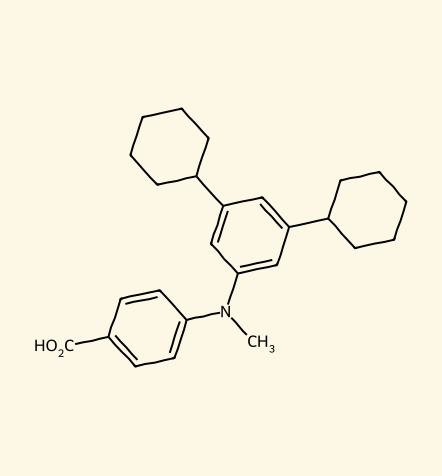 CN(c1ccc(C(=O)O)cc1)c1cc(C2CCCCC2)cc(C2CCCCC2)c1